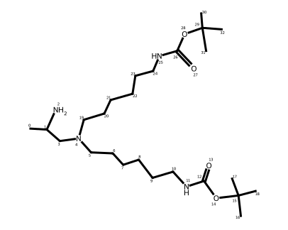 CC(N)CN(CCCCCCNC(=O)OC(C)(C)C)CCCCCCNC(=O)OC(C)(C)C